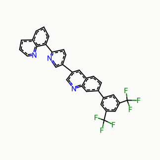 FC(F)(F)c1cc(-c2ccc3cc(-c4ccc(-c5cccc6cccnc56)nc4)cnc3c2)cc(C(F)(F)F)c1